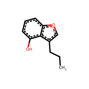 CCCc1coc2cccc(O)c12